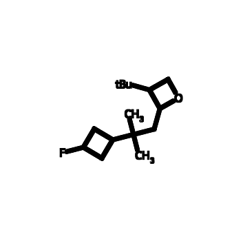 CC(C)(C)C1COC1CC(C)(C)C1CC(F)C1